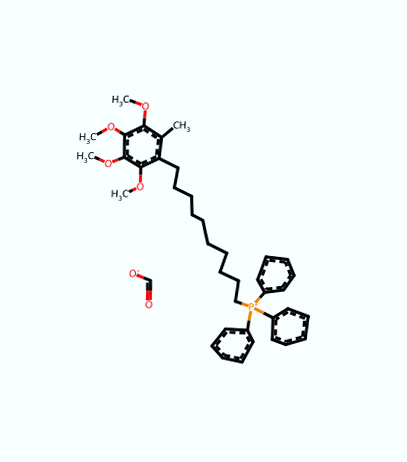 COc1c(C)c(CCCCCCCCCC[P+](c2ccccc2)(c2ccccc2)c2ccccc2)c(OC)c(OC)c1OC.O=C[O-]